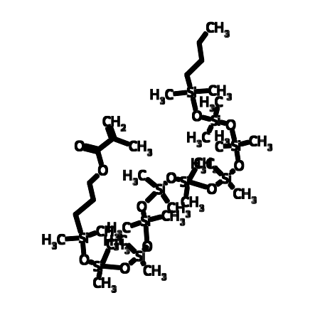 C=C(C)C(=O)OCCC[Si](C)(C)O[Si](C)(C)O[Si](C)(C)O[Si](C)(C)O[Si](C)(C)O[Si](C)(C)O[Si](C)(C)O[Si](C)(C)O[Si](C)(C)O[Si](C)(C)CCCC